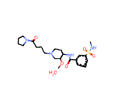 CNS(=O)(=O)c1cccc(C(=O)NC2CCN(CCCC(=O)N3CCCC3)CC2OC)c1.O